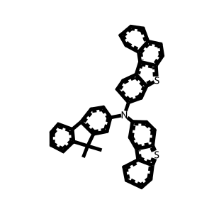 CC1(C)c2ccccc2-c2ccc(N(c3ccc4c(c3)sc3ccc5ccccc5c34)c3ccc4sc5ccccc5c4c3)cc21